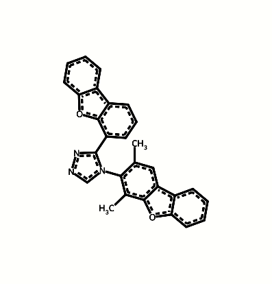 Cc1cc2c(oc3ccccc32)c(C)c1-n1cnnc1-c1cccc2c1oc1ccccc12